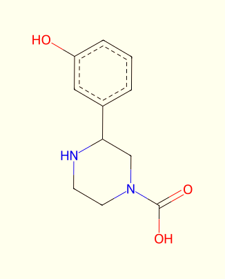 O=C(O)N1CCNC(c2cccc(O)c2)C1